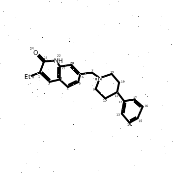 CCc1cc2ccc(CN3CCC(c4ccccc4)CC3)cc2[nH]c1=O